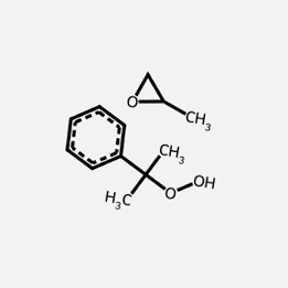 CC(C)(OO)c1ccccc1.CC1CO1